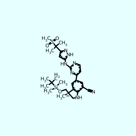 CC(C)(C)[Si](C)(C)OC[C@@]1(C)CNc2c(C#N)cc(-c3ccnc(Nc4cc(C(C)(C)S(C)(=O)=O)n[nH]4)n3)cc21